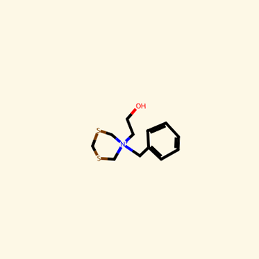 OCC[N+]1(Cc2ccccc2)CSCSC1